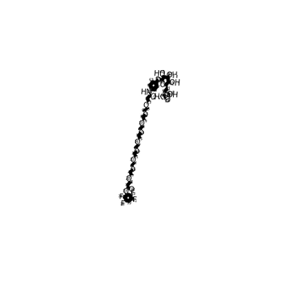 O=C(CCOCCOCCOCCOCCOCCOCCOCCOCCOCCC(=O)Oc1c(F)c(F)cc(F)c1F)Nc1ccc(O[C@H]2O[C@H](CCP(=O)(O)O)[C@@H](O)[C@H](O)[C@@H]2O)cc1